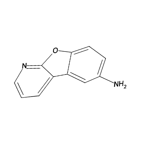 Nc1ccc2oc3ncccc3c2c1